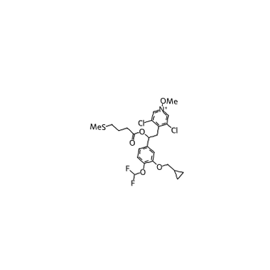 CO[n+]1cc(Cl)c(CC(OC(=O)CCCSC)c2ccc(OC(F)F)c(OCC3CC3)c2)c(Cl)c1